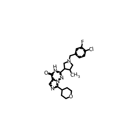 CC1CN(Cc2ccc(Cl)c(F)c2)CC1c1nn2c(C3CCOCC3)ncc2c(=O)[nH]1